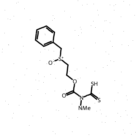 CNN(C(=O)OCC[S+]([O-])Cc1ccccc1)C(=S)S